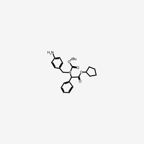 CC(C)(C)OC(=O)N(Cc1ccc(N)cc1)C(C(=O)OC1CCCC1)c1ccccc1